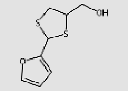 OCC1CSC(c2ccco2)S1